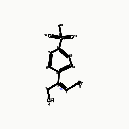 CC(C)/C=C(/CO)c1ccc(S(C)(=O)=O)cc1